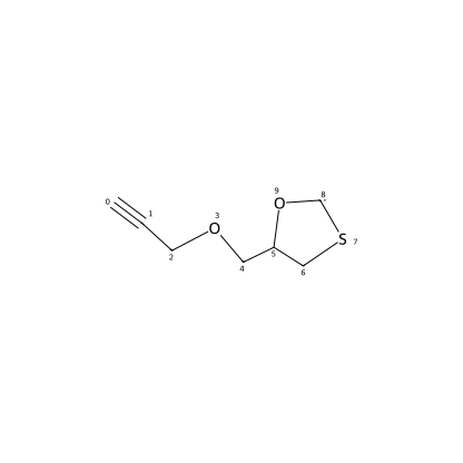 C#CCOCC1CS[CH]O1